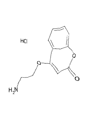 Cl.NCCOc1cc(=O)oc2ccccc12